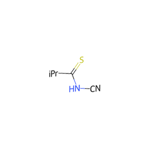 CC(C)C(=S)NC#N